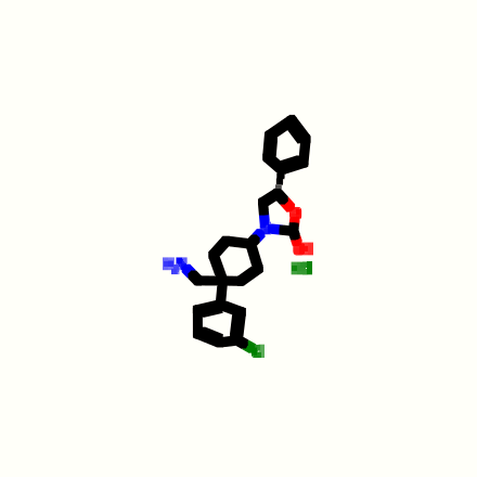 Cl.NCC1(c2cccc(Cl)c2)CCC(N2C[C@H](c3ccccc3)OC2O)CC1